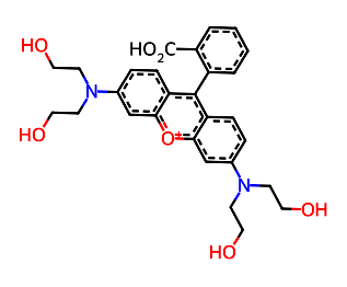 O=C(O)c1ccccc1-c1c2ccc(N(CCO)CCO)cc2[o+]c2cc(N(CCO)CCO)ccc12